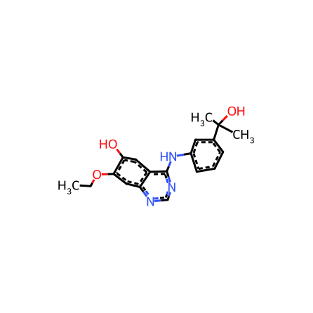 CCOc1cc2ncnc(Nc3cccc(C(C)(C)O)c3)c2cc1O